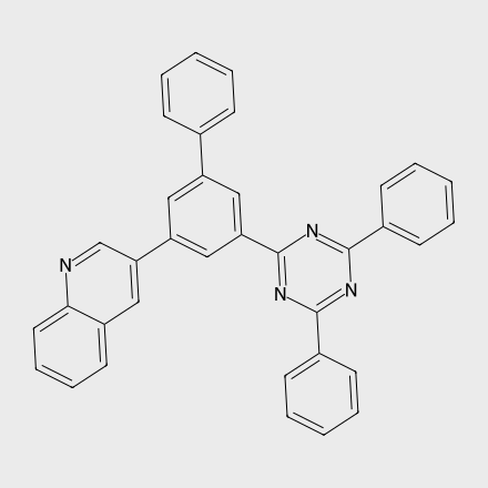 c1ccc(-c2cc(-c3cnc4ccccc4c3)cc(-c3nc(-c4ccccc4)nc(-c4ccccc4)n3)c2)cc1